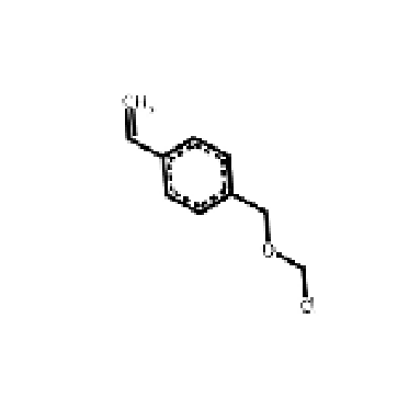 C=Cc1ccc(COCCl)cc1